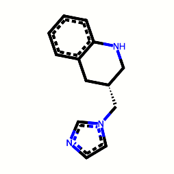 c1ccc2c(c1)C[C@@H](Cn1ccnc1)CN2